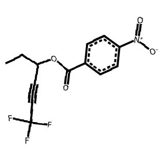 CCC(C#CC(F)(F)F)OC(=O)c1ccc([N+](=O)[O-])cc1